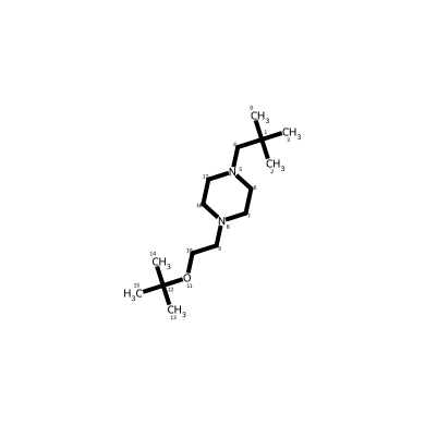 CC(C)(C)CN1CCN(CCOC(C)(C)C)CC1